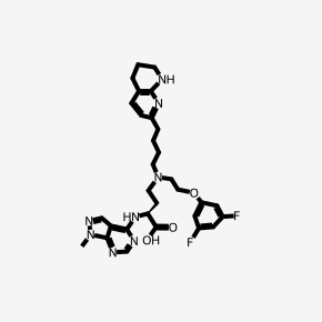 Cn1ncc2c(N[C@@H](CCN(CCCCc3ccc4c(n3)NCCC4)CCOc3cc(F)cc(F)c3)C(=O)O)ncnc21